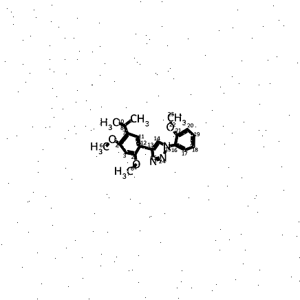 COc1cc(OC)c(C(C)C)cc1-c1cn(-c2ccccc2OC)nn1